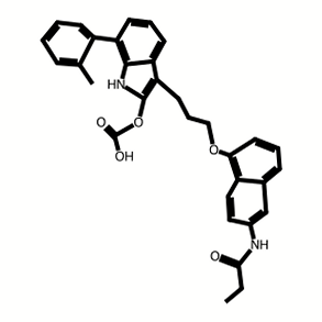 CCC(=O)Nc1ccc2c(OCCCc3c(OC(=O)O)[nH]c4c(-c5ccccc5C)cccc34)cccc2c1